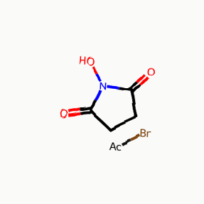 CC(=O)Br.O=C1CCC(=O)N1O